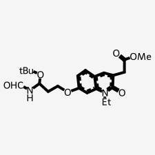 CCn1c(=O)c(CC(=O)OC)cc2ccc(OCCC(NC=O)OC(C)(C)C)cc21